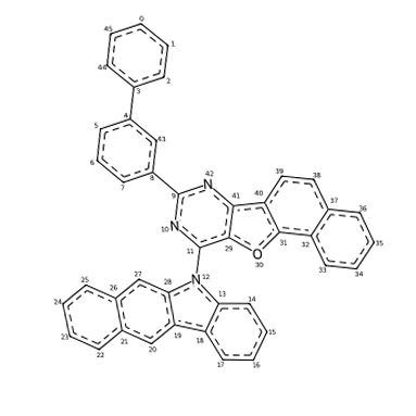 c1ccc(-c2cccc(-c3nc(-n4c5ccccc5c5cc6ccccc6cc54)c4oc5c6ccccc6ccc5c4n3)c2)cc1